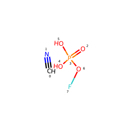 C#N.O=P(O)(O)OF